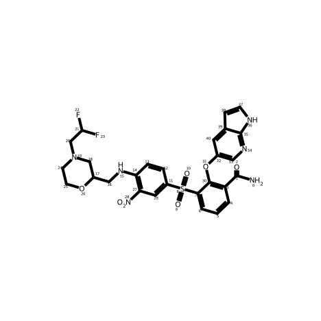 NC(=O)c1cccc(S(=O)(=O)c2ccc(NCC3CN(CC(F)F)CCO3)c([N+](=O)[O-])c2)c1Oc1cnc2[nH]ccc2c1